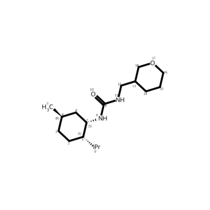 CC(C)[C@@H]1CC[C@@H](C)C[C@@H]1NC(=O)NCC1CCCOC1